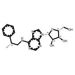 C[C@@H](CNc1ncnc2c1ncn2[C@@H]1O[C@H](CO)[C@@H](O)[C@H]1O)c1ccccc1